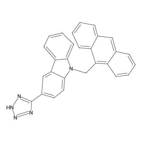 c1ccc2c(Cn3c4ccccc4c4cc(-c5nn[nH]n5)ccc43)c3ccccc3cc2c1